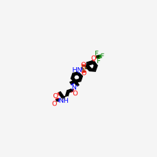 O=C1N[C@H](CCC(=O)N2CC3(CCC(NS(=O)(=O)c4cccc(OC(F)(F)F)c4)CC3)C2)CO1